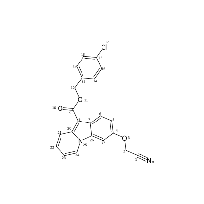 N#CCOc1ccc2c(C(=O)OCc3ccc(Cl)cc3)c3ccccn3c2c1